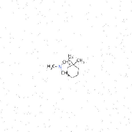 CC1(C)CCCCC1.CN(C)C